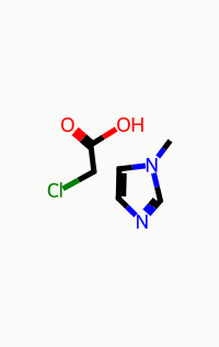 Cn1ccnc1.O=C(O)CCl